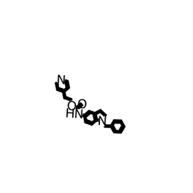 O=C(Nc1ccc2c(c1)CCN2Cc1ccccc1)OCCc1ccncc1